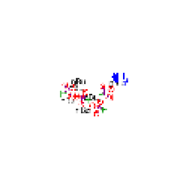 CCCCOP(=O)(F)OCCCC.CCCCOP(=O)(F)OCCCC.CCCCOP(=O)(O)F.CCCCOP(=O)(O)F.N.N